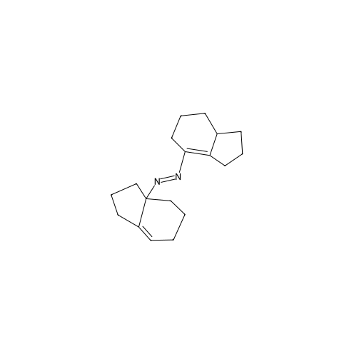 C1=C2CCCC2(N=NC2=C3CCCC3CCC2)CCC1